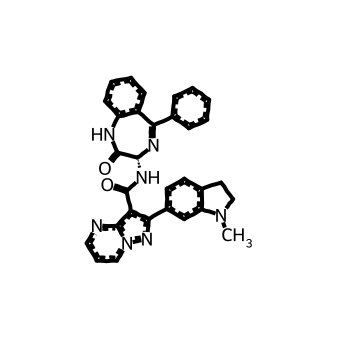 CN1CCc2ccc(-c3nn4cccnc4c3C(=O)N[C@H]3N=C(c4ccccc4)c4ccccc4NC3=O)cc21